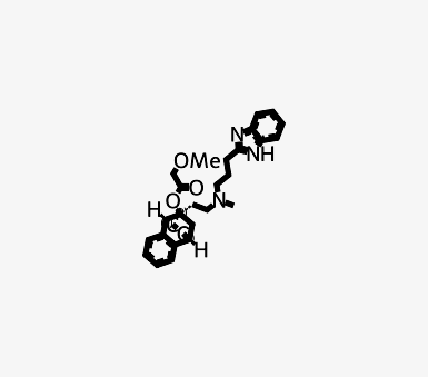 COCC(=O)O[C@@]1(CCN(C)CCCc2nc3ccccc3[nH]2)C[C@H]2CC[C@@H]1c1ccccc12